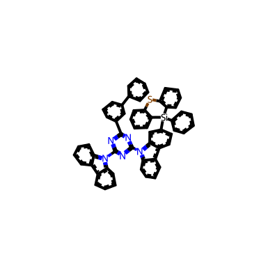 c1ccc(-c2cccc(-c3nc(-n4c5ccccc5c5ccccc54)nc(-n4c5ccccc5c5ccc([Si]6(c7ccccc7)c7ccccc7Sc7ccccc76)cc54)n3)c2)cc1